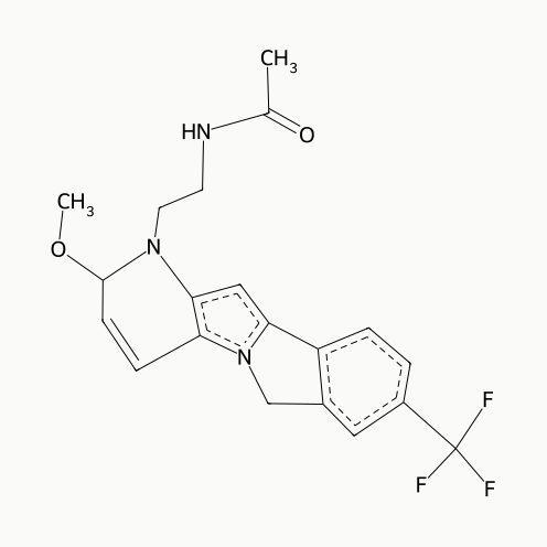 COC1C=Cc2c(cc3n2Cc2cc(C(F)(F)F)ccc2-3)N1CCNC(C)=O